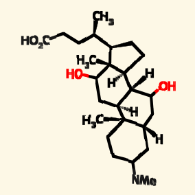 CNC1CC[C@@]2(C)[C@@H](C1)CC(O)[C@@H]1[C@@H]2CC(O)[C@]2(C)[C@@H]([C@H](C)CCC(=O)O)CC[C@@H]12